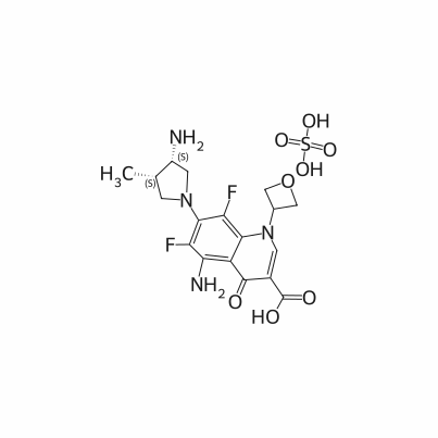 C[C@H]1CN(c2c(F)c(N)c3c(=O)c(C(=O)O)cn(C4COC4)c3c2F)C[C@H]1N.O=S(=O)(O)O